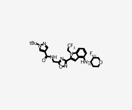 CC(C)(C)n1cc(C(=O)NCc2nc(-c3cc4c(N[C@H]5CCOC[C@H]5F)cccc4n3CC(F)(F)F)no2)cn1